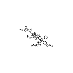 COC(=O)C1(Cn2c(-c3ccc(OC)cc3)c(C3CCCCC3)c3ccc(C(=O)NS(=O)(=O)N(C)CCCCNC(=O)OC(C)(C)C)cc32)CC1